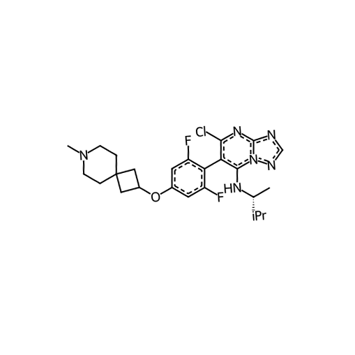 CC(C)[C@@H](C)Nc1c(-c2c(F)cc(OC3CC4(CCN(C)CC4)C3)cc2F)c(Cl)nc2ncnn12